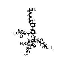 C=C(C)C(=O)OCCCc1cc(-c2ccc3c(c2)CC(CCCCCC)C3)ccc1OCC(COC(=O)CCC(=O)OC)(COC(=O)CCC(=O)OC)COC(=O)C(=C)C